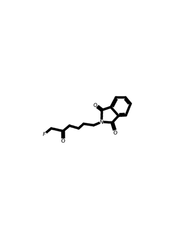 O=C(CF)CCCCN1C(=O)c2ccccc2C1=O